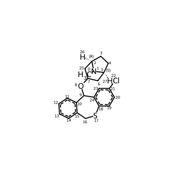 CN1[C@@H]2CC[C@H]1CC(OC1c3ccccc3CSc3ccc(Cl)cc31)C2